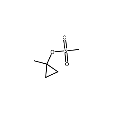 CC1(OS(C)(=O)=O)CC1